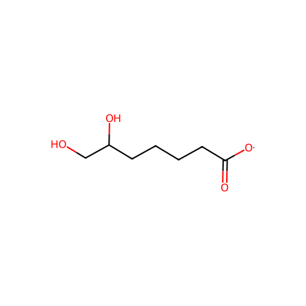 [O]C(=O)CCCCC(O)CO